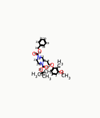 COc1cccc(OCC[C@@H]2CN(C(=O)OCc3ccccc3)CCN2C(=O)OC(C)(C)C)c1C